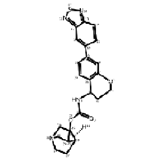 O=C(NC1CCOc2cc(-c3ccc4nsnc4c3)ccc21)O[C@@H]1CN2CCC1CC2